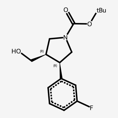 CC(C)(C)OC(=O)N1C[C@H](CO)[C@H](c2cccc(F)c2)C1